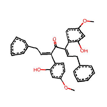 COc1ccc(C(=CCc2ccccc2)C(=O)C(=CCc2ccccc2)c2ccc(OC)cc2O)c(O)c1